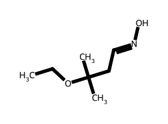 CCOC(C)(C)CC=NO